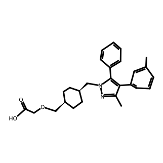 Cc1cccc(-c2c(C)nn(C[C@H]3CC[C@@H](COCC(=O)O)CC3)c2-c2ccccc2)c1